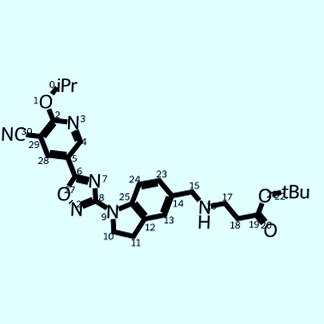 CC(C)Oc1ncc(-c2nc(N3CCc4cc(CNCCC(=O)OC(C)(C)C)ccc43)no2)cc1C#N